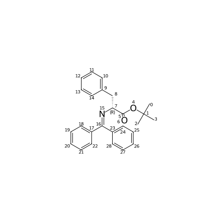 CC(C)(C)OC(=O)[C@@H](Cc1ccccc1)N=C(c1ccccc1)c1ccccc1